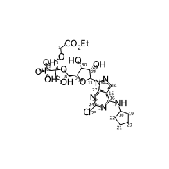 CCOC(=O)COC[C@](CO)(OC[C@@H]1O[C@H](n2ncc3c(NC4CCCC4)nc(Cl)nc32)[C@@H](O)[C@H]1O)P(=O)(O)O